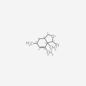 CCC1OCC2CC(C)C=C(C)C21C